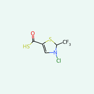 O=C(S)C1=CN(Cl)C(C(F)(F)F)S1